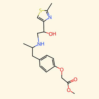 COC(=O)COc1ccc(CC(C)NCC(O)c2csc(C)n2)cc1